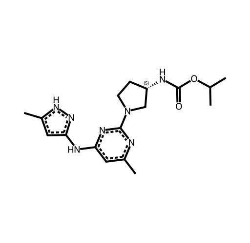 Cc1cc(Nc2cc(C)[nH]n2)nc(N2CC[C@H](NC(=O)OC(C)C)C2)n1